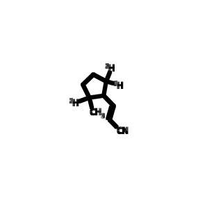 [2H]C1([2H])CCC([2H])(C)C1C=CC#N